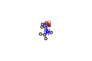 C1=CCCC(c2cc(-c3nc(-c4ccccc4)nc(-c4cc(-c5ccccc5)c(-n5c6ccccc6c6ccc7oc8ccccc8c7c65)c(C5C=CC=CC5)c4)n3)cc(C3C=CC=CC3)c2)=C1